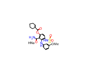 COc1cccc(Nc2c(N[SH](=O)=O)ccc(OC(=O)C3=CCCCC3)c2C(N)=O)c1.[NaH]